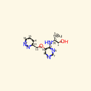 CCCC[C@@H](CO)Nc1ncncc1OCc1cccnn1